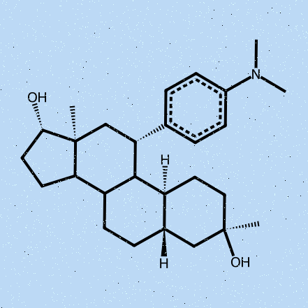 CN(C)c1ccc([C@H]2C[C@@]3(C)C(CC[C@@H]3O)C3CC[C@H]4C[C@](C)(O)CC[C@@H]4C32)cc1